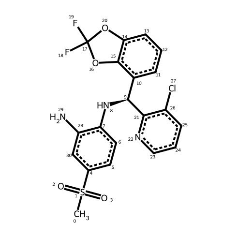 CS(=O)(=O)c1ccc(N[C@@H](c2cccc3c2OC(F)(F)O3)c2ncccc2Cl)c(N)c1